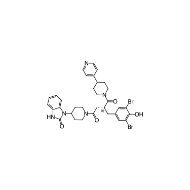 O=C(C[C@@H](Cc1cc(Br)c(O)c(Br)c1)C(=O)N1CCC(c2ccncc2)CC1)N1CCC(n2c(=O)[nH]c3ccccc32)CC1